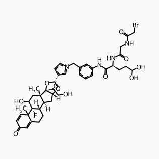 C[C@]12C=CC(=O)C=C1CC[C@H]1[C@@H]3C[C@H]4O[C@@H](c5ccn(Cc6cccc(NC(=O)[C@H](CCC(O)O)NC(=O)CNC(=O)CBr)c6)c5)O[C@@]4(C(=O)CO)[C@@]3(C)C[C@H](O)[C@@]12F